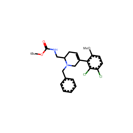 COc1ccc(Cl)c(Cl)c1C1=CCC(CNC(=O)OC(C)(C)C)N(Cc2ccccc2)C1